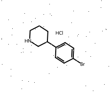 Brc1ccc(C2CCCNC2)cc1.Cl